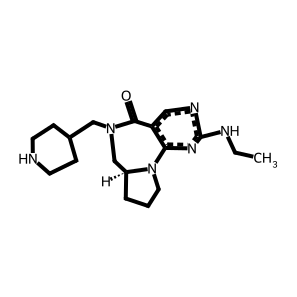 CCNc1ncc2c(n1)N1CCC[C@H]1CN(CC1CCNCC1)C2=O